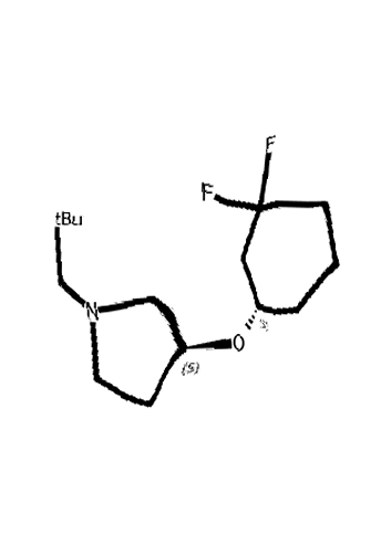 CC(C)(C)CN1CC[C@H](O[C@H]2CCCC(F)(F)C2)C1